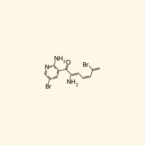 C=C(Br)/C=C\C=C(/N)C(=O)c1cc(Br)cnc1N